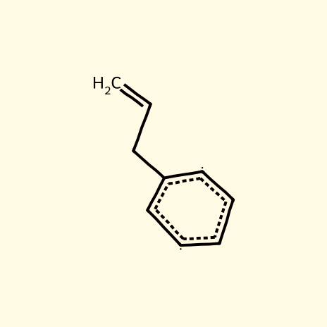 C=CCc1[c]cc[c]c1